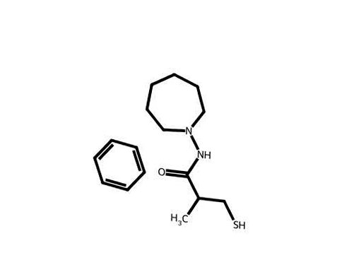 CC(CS)C(=O)NN1CCCCCC1.c1ccccc1